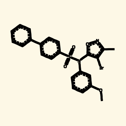 COc1cccc(N(c2onc(C)c2Br)S(=O)(=O)c2ccc(-c3ccccc3)cc2)c1